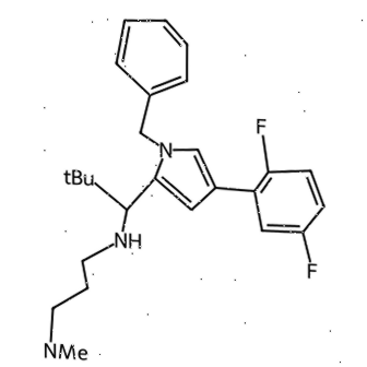 CNCCCNC(c1cc(-c2cc(F)ccc2F)cn1Cc1ccccc1)C(C)(C)C